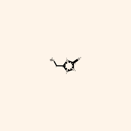 CC(C)(C)Cc1noc(=O)o1